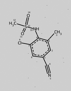 Cc1cc(C#N)cc(Cl)c1NS(C)(=O)=O